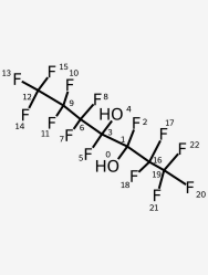 OC(F)(C(O)(F)C(F)(F)C(F)(F)C(F)(F)F)C(F)(F)C(F)(F)F